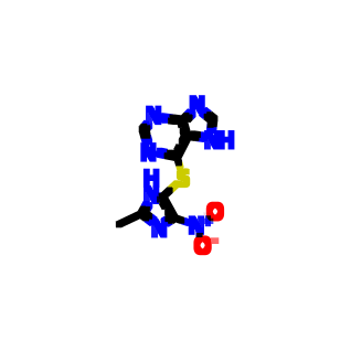 Cc1nc([N+](=O)[O-])c(Sc2ncnc3nc[nH]c23)[nH]1